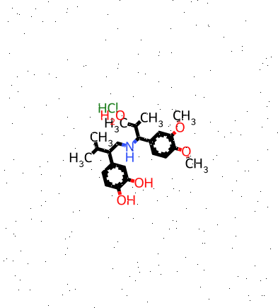 COc1ccc(C(NCC(c2ccc(O)c(O)c2)C(C)C)C(C)C)cc1OC.Cl.O